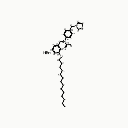 Br.CCCCCCCCCCCCCCOc1cccc(CN(C(C)=O)c2ccc(CN3C=CSC3)cc2)c1